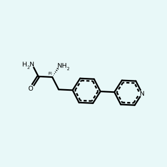 NC(=O)[C@H](N)Cc1ccc(-c2ccncc2)cc1